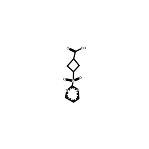 O=C(O)C1CC(S(=O)(=O)c2ncccn2)C1